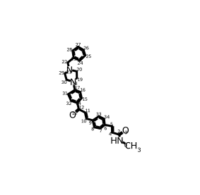 CNC(=O)/C=C/c1ccc(/C=C/C(=O)c2ccc(N3CCN(Cc4ccccc4)CC3)cc2)cc1